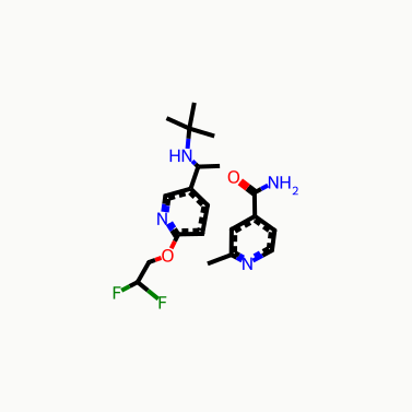 CC(NC(C)(C)C)c1ccc(OCC(F)F)nc1.Cc1cc(C(N)=O)ccn1